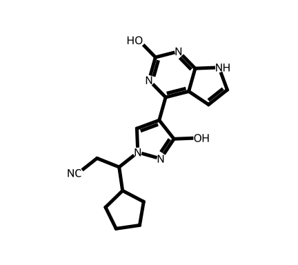 N#CCC(C1CCCC1)n1cc(-c2nc(O)nc3[nH]ccc23)c(O)n1